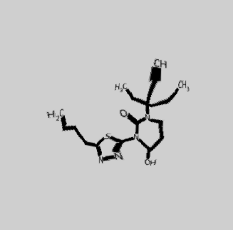 C#CC(CC)(CC)N1CCC(O)N(c2nnc(CCC=C)s2)C1=O